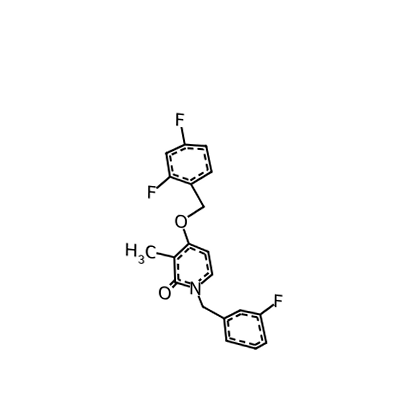 Cc1c(OCc2ccc(F)cc2F)ccn(Cc2cccc(F)c2)c1=O